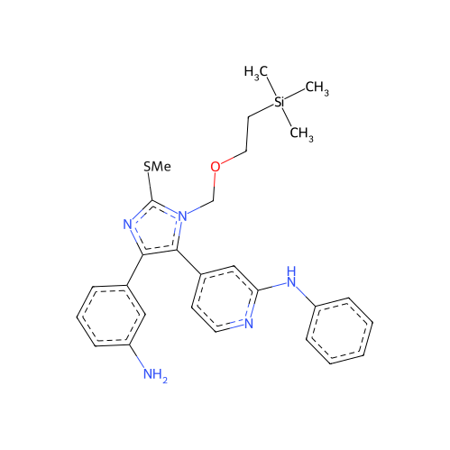 CSc1nc(-c2cccc(N)c2)c(-c2ccnc(Nc3ccccc3)c2)n1COCC[Si](C)(C)C